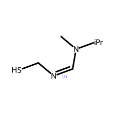 CC(C)N(C)/C=N\CS